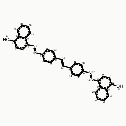 Oc1ccc(/N=N/c2ccc(/C=C/c3ccc(/N=N/c4ccc(O)c5ccccc45)cc3)cc2)c2ccccc12